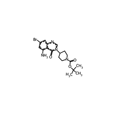 CC(C)(C)OC(=O)N1CCC(n2cnc3cc(Br)cc(N)c3c2=O)CC1